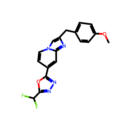 COc1ccc(Cc2cn3ccc(-c4nnc(C(F)F)o4)cc3n2)cc1